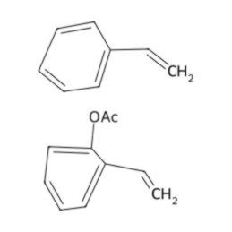 C=Cc1ccccc1.C=Cc1ccccc1OC(C)=O